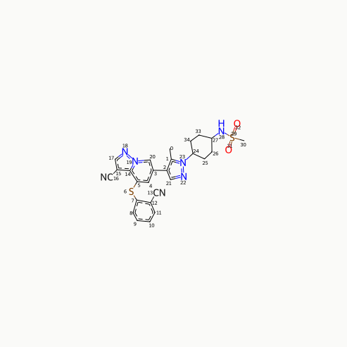 Cc1c(-c2cc(Sc3ccccc3C#N)c3c(C#N)cnn3c2)cnn1C1CCC(NS(C)(=O)=O)CC1